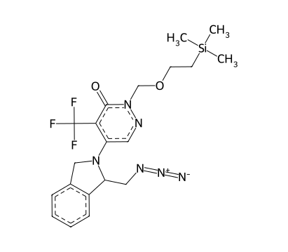 C[Si](C)(C)CCOCn1ncc(N2Cc3ccccc3C2CN=[N+]=[N-])c(C(F)(F)F)c1=O